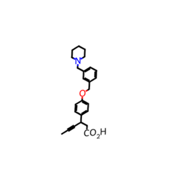 CC#CC(CC(=O)O)c1ccc(OCc2cccc(CN3CCCCC3)c2)cc1